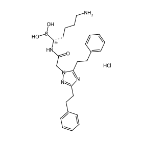 Cl.NCCCC[C@H](NC(=O)Cn1nc(CCc2ccccc2)nc1CCc1ccccc1)B(O)O